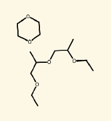 C1COCCO1.CCOCC(C)OCC(C)OCC